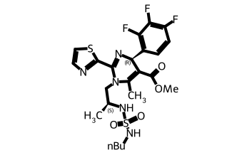 CCCCNS(=O)(=O)N[C@@H](C)CN1C(c2nccs2)=N[C@@H](c2ccc(F)c(F)c2F)C(C(=O)OC)=C1C